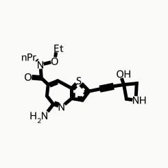 CCCN(OCC)C(=O)C1=Cc2sc(C#CC3(O)CNC3)cc2N=C(N)C1